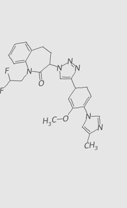 COC1=CC(c2cn(C3CCc4ccccc4N(CC(F)F)C3=O)nn2)CC=C1n1cnc(C)c1